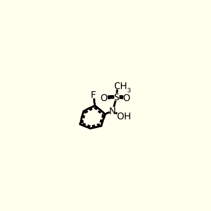 CS(=O)(=O)N(O)c1ccccc1F